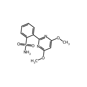 COc1cc(OC)nc(-c2ccccc2S(N)(=O)=O)n1